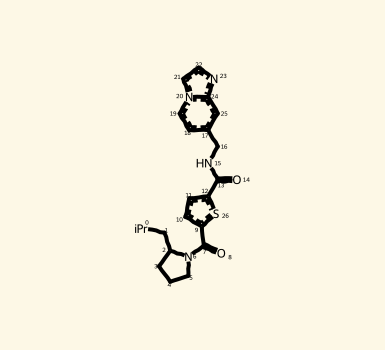 CC(C)CC1CCCN1C(=O)c1ccc(C(=O)NCc2ccn3ccnc3c2)s1